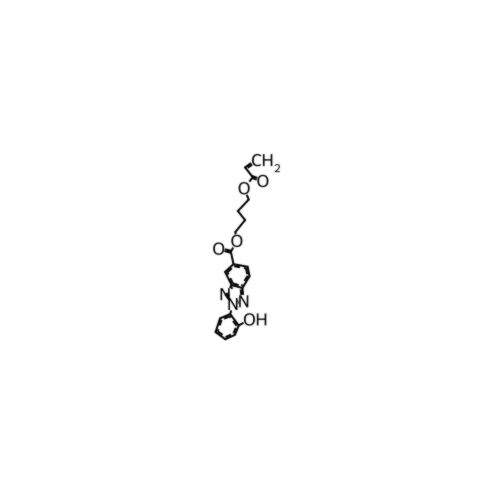 C=CC(=O)OCCCCOC(=O)c1ccc2nn(-c3ccccc3O)nc2c1